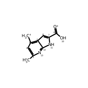 Cc1cc(C)c2cc(C(=O)O)[nH]c2n1